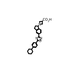 O=C(O)C1CN(C2CCc3cc(-c4noc(-c5ccc(C6CCCCC6)cc5)n4)ccc32)C1